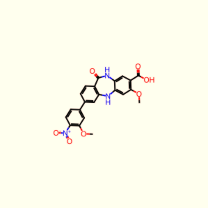 COc1cc2c(cc1C(=O)O)NC(=O)c1ccc(-c3ccc([N+](=O)[O-])c(OC)c3)cc1N2